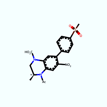 CC(=O)N1c2cc([N+](=O)[O-])c(-c3ccc(S(C)(=O)=O)cc3)cc2N(C(=O)O)C[C@@H]1C